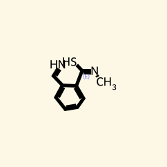 C/N=C(/S)c1ccccc1C=N